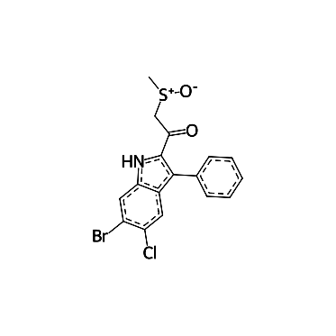 C[S+]([O-])CC(=O)c1[nH]c2cc(Br)c(Cl)cc2c1-c1ccccc1